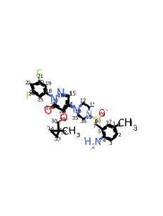 Cc1ccc(N)c(C[S@@+]([O-])N2CCN(c3cnn(-c4cc(F)cc(F)c4)c(=O)c3OCC3(C)CC3)CC2)c1